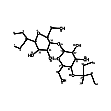 CCC(CC)C1OC(CO)C(OC2OC(CO)C(OC(C)(CC)CC)C(O)C2O)C(O)C1O